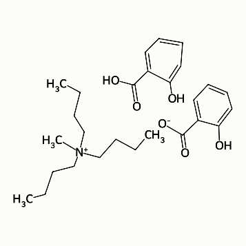 CCCC[N+](C)(CCCC)CCCC.O=C(O)c1ccccc1O.O=C([O-])c1ccccc1O